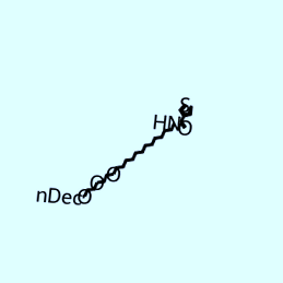 CCCCCCCCCCOCCOCCOCCCCCCCCCCCCNC(=O)c1ccsc1